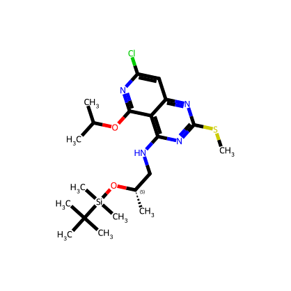 CSc1nc(NC[C@H](C)O[Si](C)(C)C(C)(C)C)c2c(OC(C)C)nc(Cl)cc2n1